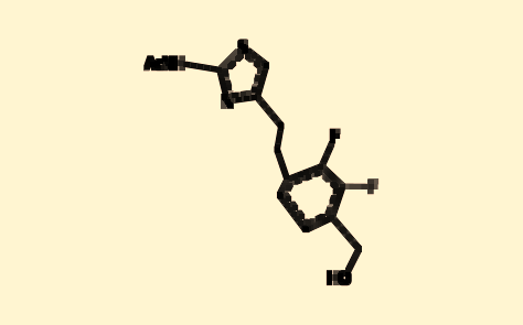 CC(=O)Nc1nc(CCc2ccc(CO)c(F)c2F)cs1